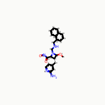 COC1[C@H](Cc2ccnc(N)c2)C(C(=O)N=O)N1CNCc1cccc2ccccc12